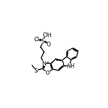 CSc1oc2cc3[nH]c4ccccc4c3cc2[n+]1CCCS(=O)(=O)O